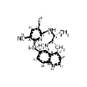 C[C@H](N)[C@@H](C)Nc1nc(Nc2ccc3ncccc3c2)c(C#N)cc1F